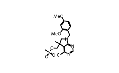 COc1ccc(CN2CC(C)(COS(C)(=O)=O)c3c(Cl)ncnc32)c(OC)c1